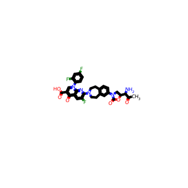 CC(=O)C(N)C1CN(c2ccc3c(c2)CCN(c2nc4c(cc2F)c(=O)c(C(=O)O)cn4-c2ccc(F)cc2F)CC3)C(=O)O1